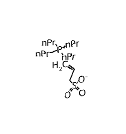 C=CCS(=O)(=O)[O-].CCC[P+](CCC)(CCC)CCC